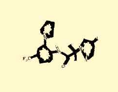 CC(C)(C(=O)Nc1ccc(C(F)(F)F)cc1-n1cccc1)n1cc(I)cn1